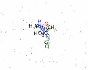 Cc1cc(Nc2nc(CC3(C(=O)O)CCN(Cc4cccc(Cl)c4F)CC3)c(F)c(C3(C)COC3)c2C)n[nH]1